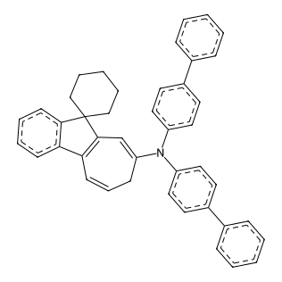 C1=CC2=C(C=C(N(c3ccc(-c4ccccc4)cc3)c3ccc(-c4ccccc4)cc3)C1)C1(CCCCC1)c1ccccc12